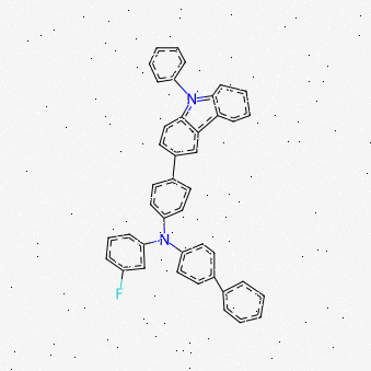 Fc1cccc(N(c2ccc(-c3ccccc3)cc2)c2ccc(-c3ccc4c(c3)c3ccccc3n4-c3ccccc3)cc2)c1